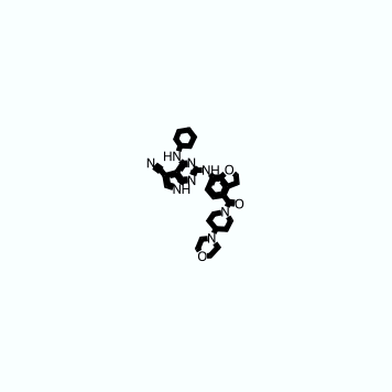 N#Cc1c[nH]c2nc(Nc3ccc(C(=O)N4CCC(N5CCOCC5)CC4)c4c3OCC4)nc(NC3CCCCC3)c12